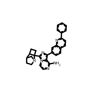 Nc1nccn2c(C34CCC3C3CCN4C3)nc(-c3ccc4ccc(-c5ccccc5)nc4c3)c12